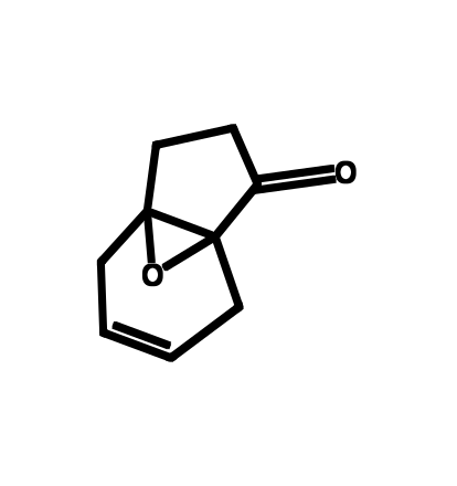 O=C1CCC23CC=CCC12O3